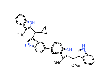 COC(c1[nH]c2ccc(-c3ccc4[nH]cc(C(c5[nH]c6ccccc6c5C=O)C5CC5)c4c3)cc2c1C=O)c1c[nH]c2ccccc12